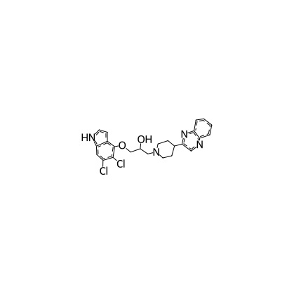 OC(COc1c(Cl)c(Cl)cc2[nH]ccc12)CN1CCC(c2cnc3ccccc3n2)CC1